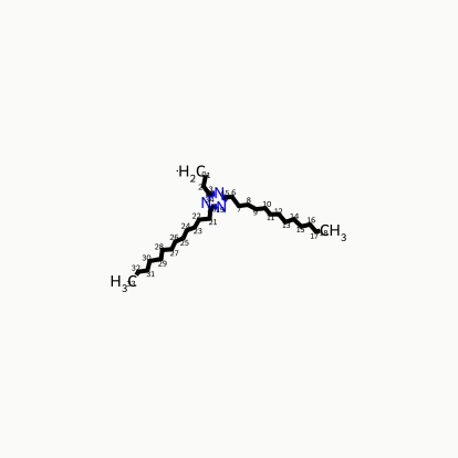 [CH2]CCc1nc(CCCCCCCCCCCCC)nc(CCCCCCCCCCCCC)n1